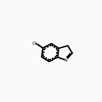 Clc1ccc2c(c1)CC=N2